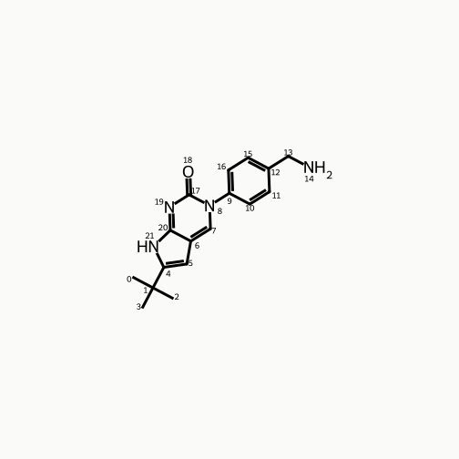 CC(C)(C)c1cc2cn(-c3ccc(CN)cc3)c(=O)nc2[nH]1